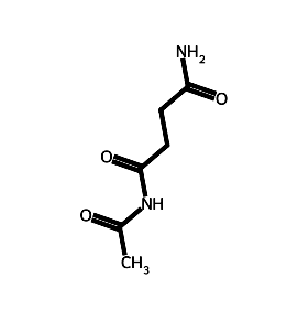 CC(=O)NC(=O)CCC(N)=O